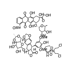 COc1cc([C@@H]2c3cc4c(cc3[C@@H](O[C@@H]3O[C@@H]5CO[C@@H](C)O[C@H]5[C@H](O)[C@H]3O)[C@H]3COC(=O)[C@H]23)OCO4)cc(OC)c1O.COc1cccc2c1C(=O)c1c(O)c3c(c(O)c1C2=O)C[C@@](O)(C(=O)CO)C[C@@H]3O[C@H]1C[C@H](N)[C@H](O)[C@H](C)O1.O=P1(N(CCCl)CCCl)NCCCO1